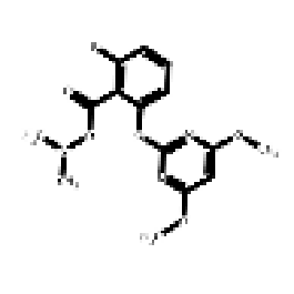 COc1cc(OC)nc(Oc2cccc(F)c2C(=O)ON(C)C)n1